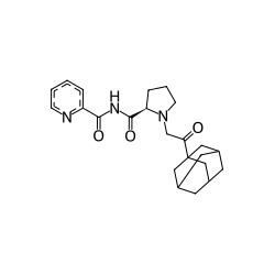 O=C(NC(=O)[C@H]1CCCN1CC(=O)C12CC3CC(CC(C3)C1)C2)c1ccccn1